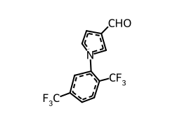 O=Cc1ccn(-c2cc(C(F)(F)F)ccc2C(F)(F)F)c1